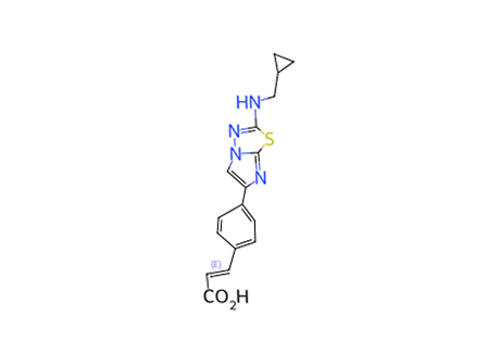 O=C(O)/C=C/c1ccc(-c2cn3nc(NCC4CC4)sc3n2)cc1